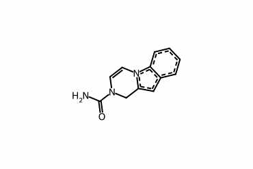 NC(=O)N1C=Cn2c(cc3ccccc32)C1